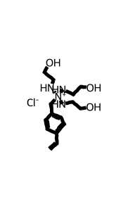 C=Cc1ccc(C[N+](NCCO)(NCCO)NCCO)cc1.[Cl-]